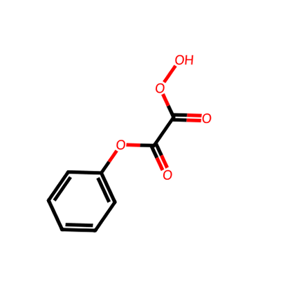 O=C(OO)C(=O)Oc1ccccc1